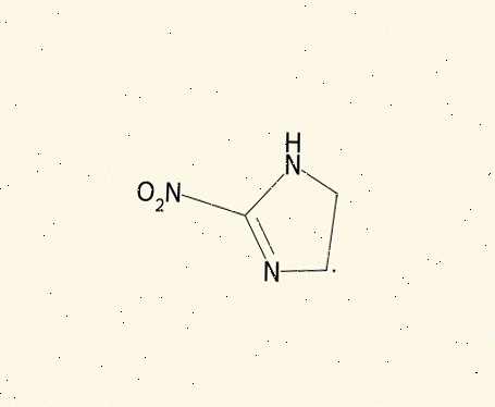 O=[N+]([O-])C1=N[CH]CN1